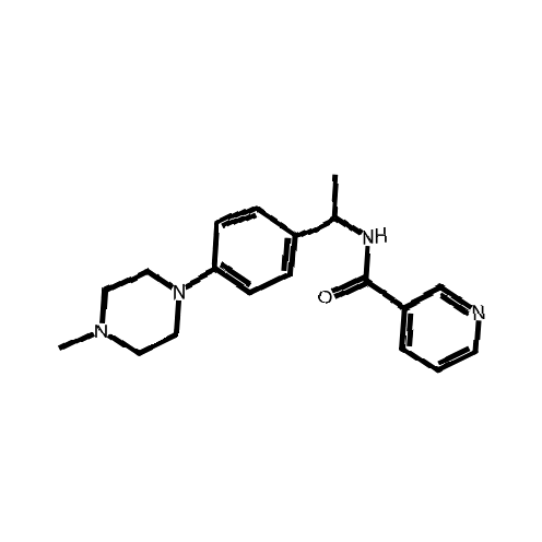 CC(NC(=O)c1cccnc1)c1ccc(N2CCN(C)CC2)cc1